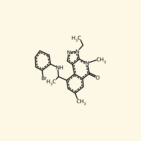 CCn1ncc2c3c(C(C)Nc4ccccc4Br)cc(C)cc3c(=O)n(C)c21